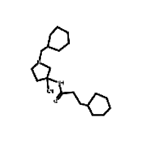 N#CC1(NC(=O)CCC2CCCCC2)CCN(CC2CCCCC2)C1